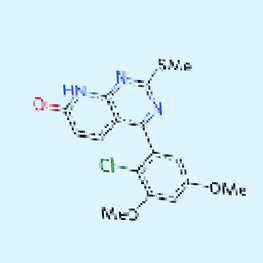 COc1cc(OC)c(Cl)c(-c2nc(SC)nc3[nH]c(=O)ccc23)c1